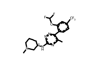 Cc1nc(N[C@@H]2CCCN(C)C2)nnc1-c1ccc(C(F)(F)F)cc1OC(F)F